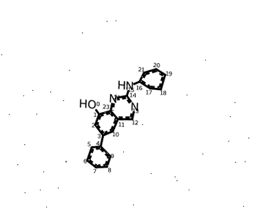 Oc1cc(-c2ccccc2)cc2cnc(Nc3ccccc3)nc12